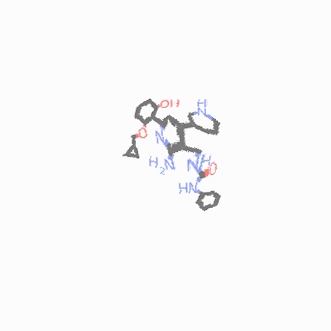 Nc1nc(-c2c(O)cccc2OCC2CC2)cc(C2CCCNC2)c1CNC(=O)Nc1ccccc1